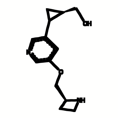 OC[C@H]1CC1c1cncc(OC[C@@H]2CCN2)c1